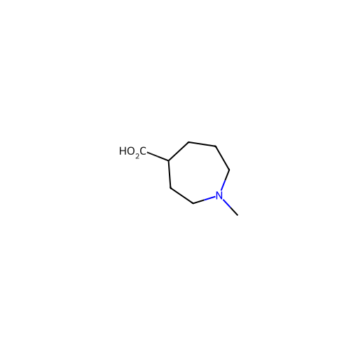 CN1CCCC(C(=O)O)CC1